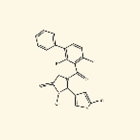 O=C1CN(C(=O)c2c(F)ccc(-c3ccccc3)c2F)C(c2csc(Br)c2)N1O